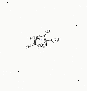 C=C(CC)C(=O)O.CC/C(C(=O)O)=C(/CC)C(=O)O